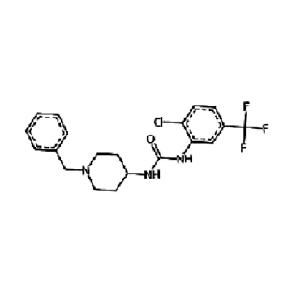 O=C(Nc1cc(C(F)(F)F)ccc1Cl)NC1CCN(Cc2ccccc2)CC1